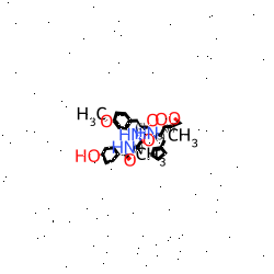 COc1ccc(C[C@H](NC(=O)[C@@H](C)NC(=O)[C@H]2CC[C@@H](O)CC2)C(=O)N[C@@H](CC2=CCCC2)C(=O)[C@@]2(C)CO2)cc1